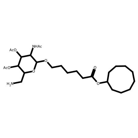 CC(=O)NC1C(OCCCCCC(=O)OC2CCCCCCCC2)OC(CN)C(OC(C)=O)C1OC(C)=O